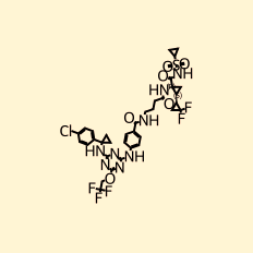 O=C(CCCNC(=O)c1ccc(Nc2nc(NC3(c4ccc(Cl)cc4)CC3)nc(OCC(F)(F)F)n2)cc1)N[C@]1(C(=O)NS(=O)(=O)C2CC2)C[C@H]1C1CC1(F)F